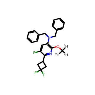 [2H]C([2H])([2H])Oc1nc(C2CC(F)(F)C2)c(F)cc1N(Cc1ccccc1)Cc1ccccc1